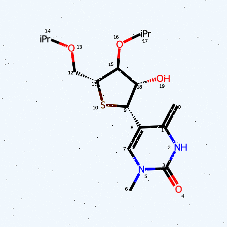 C=C1NC(=O)N(C)C=C1[C@@H]1S[C@H](COC(C)C)C(OC(C)C)[C@@H]1O